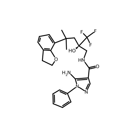 CC(C)(C[C@@](O)(CNC(=O)c1cnn(-c2ccccc2)c1N)C(F)(F)F)c1cccc2c1OCC2